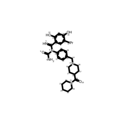 CC(C)c1cc(C(=N)N(C(N)=O)c2ccc(CN3CCC(C(=O)N4CCCCC4)CC3)cc2)c(O)cc1O